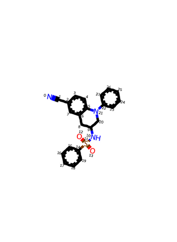 N#Cc1ccc2c(c1)CC(NS(=O)(=O)c1ccccc1)CN2c1ccccc1